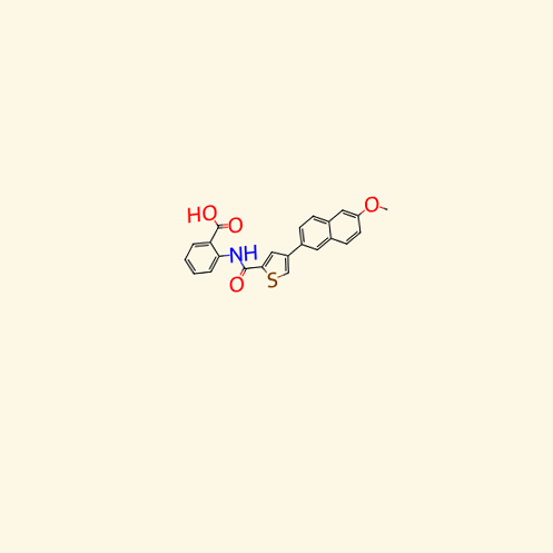 COc1ccc2cc(-c3csc(C(=O)Nc4ccccc4C(=O)O)c3)ccc2c1